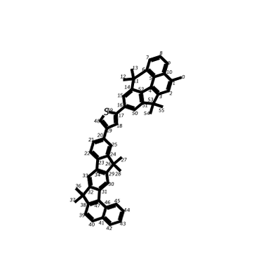 Cc1cc2c3c4c(cccc14)C(C)(C)c1cc(-c4cc(-c5ccc6c(c5)C(C)(C)c5cc7c(cc5-6)C(C)(C)c5ccc6ccccc6c5-7)cs4)cc(c1-3)C2(C)C